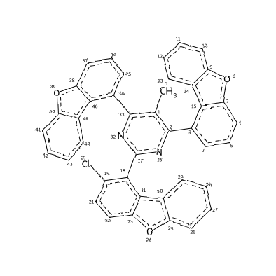 Cc1c(-c2cccc3oc4ccccc4c23)nc(-c2c(Cl)ccc3oc4ccccc4c23)nc1-c1cccc2oc3ccccc3c12